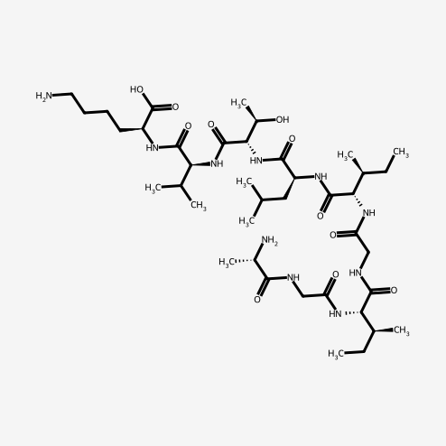 CC[C@H](C)[C@H](NC(=O)CNC(=O)[C@H](C)N)C(=O)NCC(=O)N[C@H](C(=O)N[C@@H](CC(C)C)C(=O)N[C@H](C(=O)N[C@H](C(=O)N[C@@H](CCCCN)C(=O)O)C(C)C)[C@@H](C)O)[C@@H](C)CC